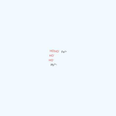 [Fe+2].[OH-].[OH-].[OH-].[OH-].[Pb+2]